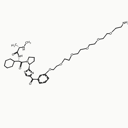 CN[C@@H](C)C(=O)N[C@H](C(=O)N1CCC[C@H]1c1nc(C(=O)c2cccc(OCCOCCOCCOCCOCCOCCN)c2)cs1)C1CCCCC1